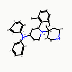 Cc1cccc(C)c1C1CC(N(c2ccccc2)c2ccccc2)CCN1C1(C)CC[N]CC1